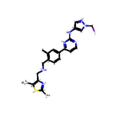 Cc1cc(-c2ccnc(Nc3cnn(CI)c3)n2)ccc1CNCc1nc(C(C)(C)C)sc1C(=O)O